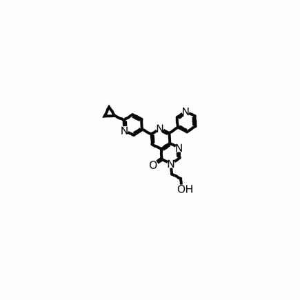 O=c1c2cc(-c3ccc(C4CC4)nc3)nc(-c3cccnc3)c2ncn1CCO